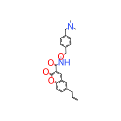 C=CCc1ccc2oc(=O)c(C(=O)NOCc3ccc(CN(C)C)cc3)cc2c1